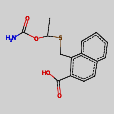 CC(OC(N)=O)SCc1c(C(=O)O)ccc2ccccc12